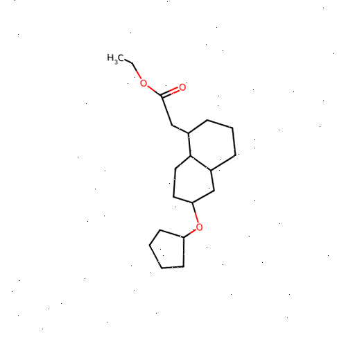 CCOC(=O)CC1CCCC2CC(OC3CCCC3)CCC12